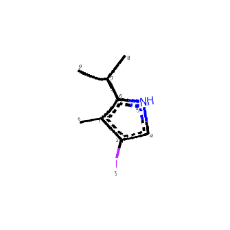 Cc1c(I)c[nH]c1C(C)C